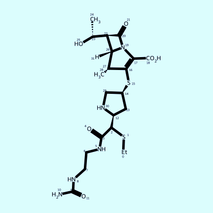 CCSC(C(=O)NCCNC(N)=O)[C@@H]1C[C@H](SC2=C(C(=O)O)N3C(=O)[C@H]([C@@H](C)O)[C@H]3[C@H]2C)CN1